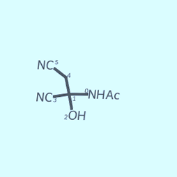 CC(=O)NC(O)(C#N)CC#N